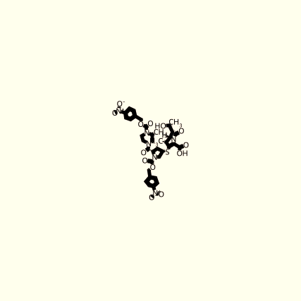 CC1CN(C(=O)[C@@H]2C[C@H](SC3=C(C(=O)O)N4C(=O)[C@H]([C@@H](C)O)[C@H]4[C@H]3C)CN2C(=O)OCc2ccc([N+](=O)[O-])cc2)CCN1C(=O)OCc1ccc([N+](=O)[O-])cc1